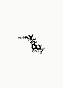 COc1ccc(NS(=O)(=O)c2sc(NC(C)=O)nc2C)c2c1C[C@@H](N(C)C)CO2